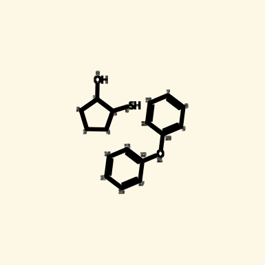 OC1CCCC1S.c1ccc(Oc2ccccc2)cc1